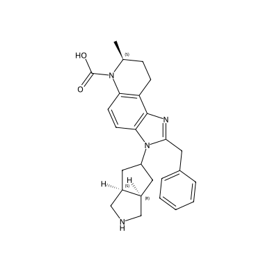 C[C@H]1CCc2c(ccc3c2nc(Cc2ccccc2)n3C2C[C@H]3CNC[C@H]3C2)N1C(=O)O